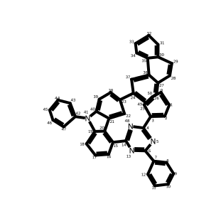 c1ccc(-c2nc(-c3ccccc3)nc(-c3cccc4c3c3cc(-c5ccc6ccc7ccccc7c6c5)ccc3n4-c3ccccc3)n2)cc1